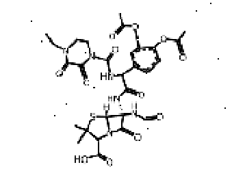 CCN1CCN(C(=O)NC(C(=O)N[C@]2(NC=O)C(=O)N3[C@@H](C(=O)O)C(C)(C)S[C@@H]32)c2ccc(OC(C)=O)c(OC(C)=O)c2)C(=O)C1=O